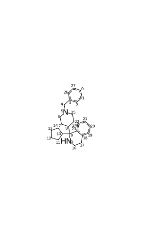 c1ccc(CN2CCC(C3(C4CCCC4)NCCc4ccccc43)CC2)cc1